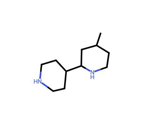 CC1CCNC(C2CCNCC2)C1